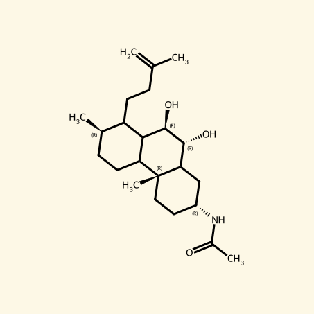 C=C(C)CCC1C2C(CC[C@H]1C)[C@@]1(C)CC[C@@H](NC(C)=O)CC1[C@@H](O)[C@@H]2O